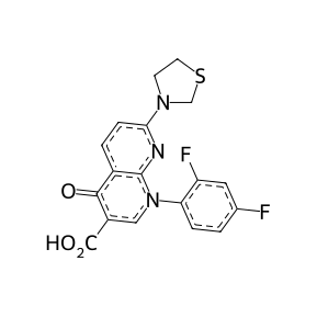 O=C(O)c1cn(-c2ccc(F)cc2F)c2nc(N3CCSC3)ccc2c1=O